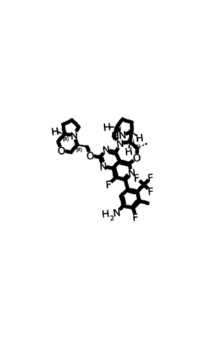 Cc1c(F)c(N)cc(-c2nc3c4c(nc(OC[C@H]5COC[C@H]6CCCN65)nc4c2F)N2C[C@H]4CC[C@H](N4)[C@H]2[C@H](C)O3)c1C(F)(F)F